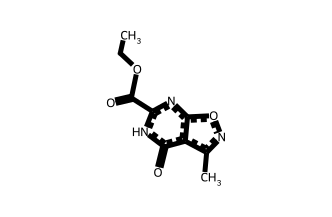 CCOC(=O)c1nc2onc(C)c2c(=O)[nH]1